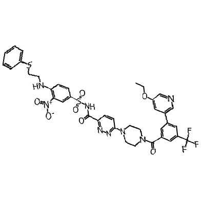 CCOc1cncc(-c2cc(C(=O)N3CCN(c4ccc(C(=O)NS(=O)(=O)c5ccc(NCCSc6ccccc6)c([N+](=O)[O-])c5)nn4)CC3)cc(C(F)(F)F)c2)c1